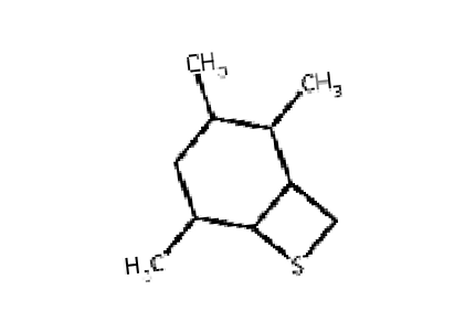 CC1CC(C)C2SCC2C1C